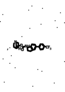 O=C(NC1CCc2cc(-c3ccc(C(F)(F)F)cc3)ccc21)O[C@H]1CN2CCC1CC2